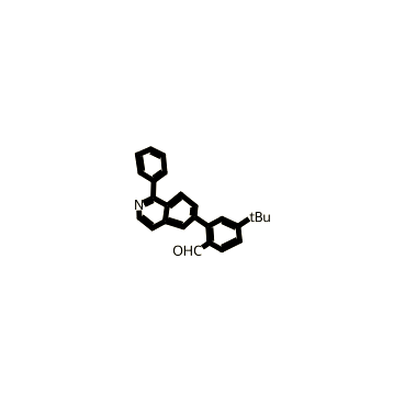 CC(C)(C)c1ccc(C=O)c(-c2ccc3c(-c4ccccc4)nccc3c2)c1